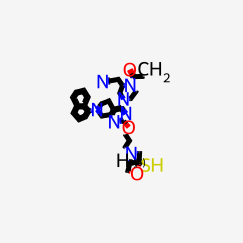 C=CC(=O)N1CCN(c2nc(OCCCN3C[C@@]4(S)OC[C@@H]34)nc3c2CCN(c2cccc4ccccc24)C3)CC1CC#N